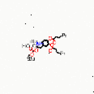 CCC(C)N[C@@](Cc1ccc(OC(=O)CCC(C)C)c(OC(=O)CCC(C)C)c1)(OC(=O)OCC(C)(C)C)C(=O)O